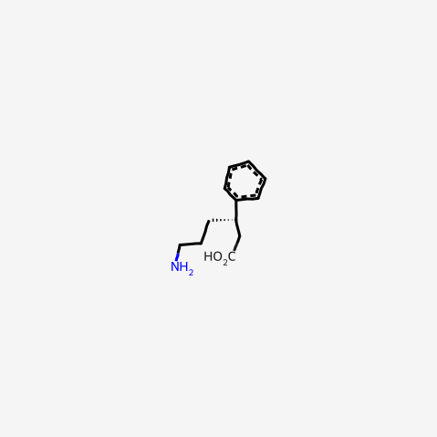 NCCC[C@@H](CC(=O)O)c1ccccc1